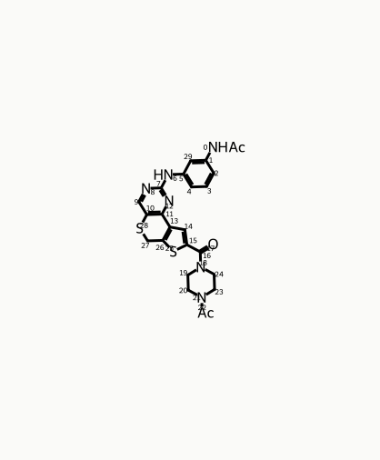 CC(=O)Nc1cccc(Nc2ncc3c(n2)-c2cc(C(=O)N4CCN(C(C)=O)CC4)sc2CS3)c1